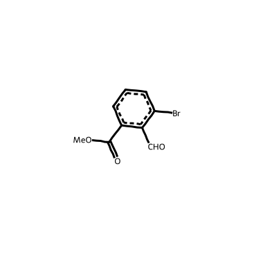 COC(=O)c1cccc(Br)c1C=O